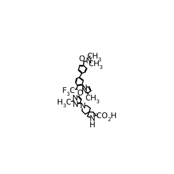 Cc1ccn(-c2cc(-c3ccc(C(=O)N(C)C)cc3)ccc2C(Oc2cc(N3CCC4(CC3)CN[C@H](C(=O)O)C4)nc(C)n2)C(F)(F)F)n1